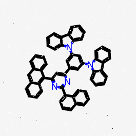 c1ccc2c(-c3nc(-c4cc(-n5c6ccccc6c6ccccc65)cc(-n5c6ccccc6c6ccccc65)c4)cc(-c4c5ccccc5cc5ccccc45)n3)cccc2c1